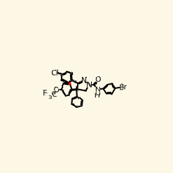 O=C(Nc1ccc(Br)cc1)N1CC(c2ccccc2)(c2ccc(OC(F)(F)F)cc2)C(c2ccc(Cl)cc2)=N1